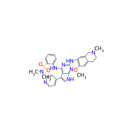 COc1cc2c(cc1Nc1nc(Nc3ccccc3S(=O)(=O)N(C)C)c3c(-c4ccncc4)c[nH]c3n1)CN(C)CC2